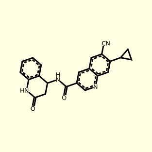 N#Cc1cc2cc(C(=O)NC3CC(=O)Nc4ccccc43)cnc2cc1C1CC1